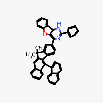 CC1(C)c2cc(C3=C4Oc5ccccc5C4NC(c4ccccc4)=N3)ccc2-c2c1cc1ccccc1c2-c1cccc2ccccc12